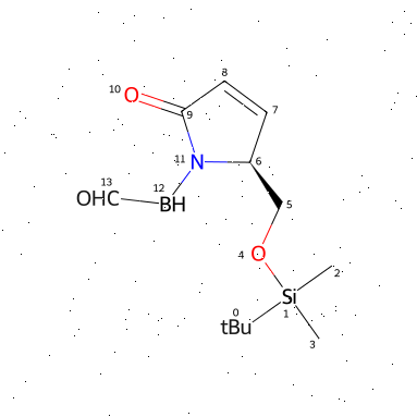 CC(C)(C)[Si](C)(C)OC[C@@H]1C=CC(=O)N1BC=O